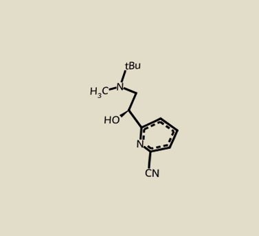 CN(C[C@H](O)c1cccc(C#N)n1)C(C)(C)C